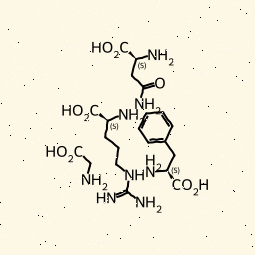 N=C(N)NCCC[C@H](N)C(=O)O.NC(=O)C[C@H](N)C(=O)O.NCC(=O)O.N[C@@H](Cc1ccccc1)C(=O)O